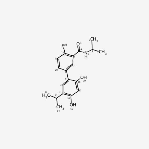 CC(C)NC(=O)c1cc(-c2cc(C(C)C)c(O)cc2O)ccc1F